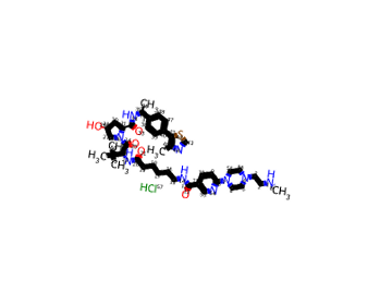 CNCCN1CCN(c2ccc(C(=O)NCCCCCC(=O)N[C@H](C(=O)N3C[C@H](O)C[C@H]3C(=O)N[C@@H](C)c3ccc(-c4scnc4C)cc3)C(C)(C)C)cn2)CC1.Cl